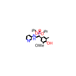 COc1cc(/C(=C/Nc2cccnc2)P(=O)(OC(C)C)OC(C)C)cc(C)c1O